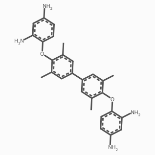 Cc1cc(-c2cc(C)c(Oc3ccc(N)cc3N)c(C)c2)cc(C)c1Oc1ccc(N)cc1N